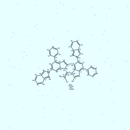 CC1=Cc2c(-c3ccccc3)cc(-n3cc4ccccc4n3)cc2[C@@H]1[Zr+2]([C@H]1C(C)=Cc2c(-c3ccccc3)cc(-n3cc4ccccc4n3)cc21)=[Si](C)C.[Cl-].[Cl-]